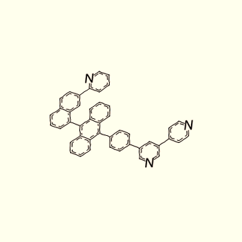 c1ccc(-c2ccc3cccc(-c4c5ccccc5c(-c5ccc(-c6cncc(-c7ccncc7)c6)cc5)c5ccccc45)c3c2)nc1